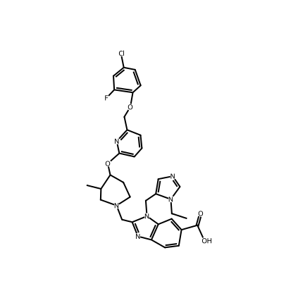 CCn1cncc1Cn1c(CN2CCC(Oc3cccc(COc4ccc(Cl)cc4F)n3)C(C)C2)nc2ccc(C(=O)O)cc21